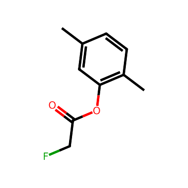 Cc1ccc(C)c(OC(=O)CF)c1